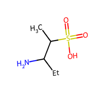 CCC(N)C(C)S(=O)(=O)O